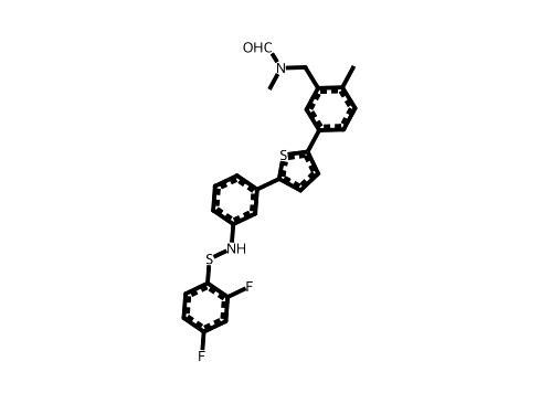 Cc1ccc(-c2ccc(-c3cccc(NSc4ccc(F)cc4F)c3)s2)cc1CN(C)C=O